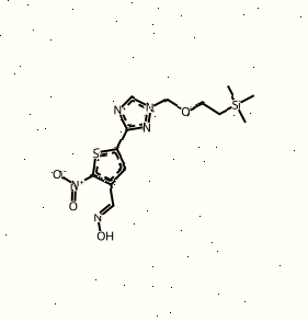 C[Si](C)(C)CCOCn1cnc(-c2cc(C=NO)c([N+](=O)[O-])s2)n1